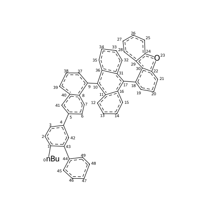 CCCCc1ccc(-c2ccc3c(-c4c5ccccc5c(-c5cccc6oc7ccccc7c56)c5ccccc45)cccc3c2)cc1-c1ccccc1